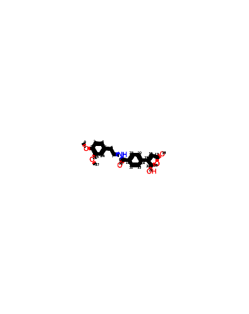 COc1ccc(CCNC(=O)c2ccc(C3=CC(=O)OC3O)cc2)cc1OC